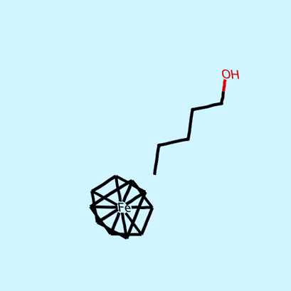 CCCCCO.[CH]12[CH]3[CH]4[CH]5[CH]1[Fe]23451678[CH]2[CH]1[CH]6[CH]7[CH]28